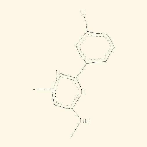 CNc1cc(C)nc(-c2cccc(Cl)c2)n1